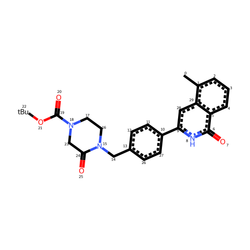 Cc1cccc2c(=O)[nH]c(-c3ccc(CN4CCN(C(=O)OC(C)(C)C)CC4=O)cc3)cc12